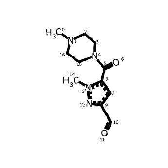 CN1CCN(C(=O)c2cc(C=O)nn2C)CC1